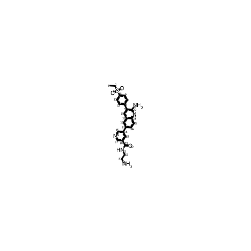 CCS(=O)(=O)c1ccc(-c2cc3cc(-c4cncc(C(=O)NCCN)c4)ccc3nc2N)cc1